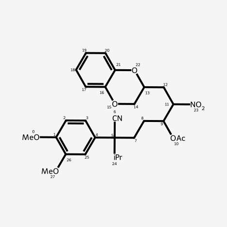 COc1ccc(C(C#N)(CCC(OC(C)=O)C(CC2COc3ccccc3O2)[N+](=O)[O-])C(C)C)cc1OC